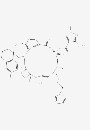 COc1nn(C)cc1C(=O)N[S@@]1(=O)=NC(=O)c2ccc3c(c2)N(C[C@@H]2CC[C@H]2[C@@H](OC)/C=C/[C@H](OCCn2ccnc2)[C@H](C)C1)C[C@@]1(CCCc2cc(Cl)ccc21)CO3